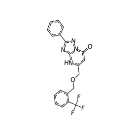 O=c1cc(COCc2ccccc2C(F)(F)F)[nH]c2nc(-c3ccccc3)nn12